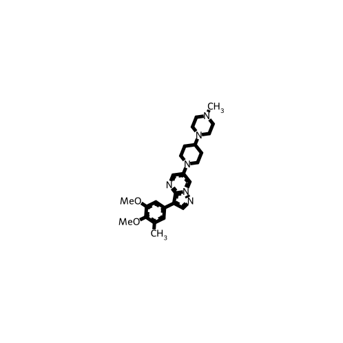 COc1cc(-c2cnn3cc(N4CCC(N5CCN(C)CC5)CC4)cnc23)cc(C)c1OC